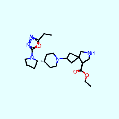 CCOC(=O)C1CNCC12CC(N1CCC([C@@H]3CCCN3c3nnc(CC)o3)CC1)C2